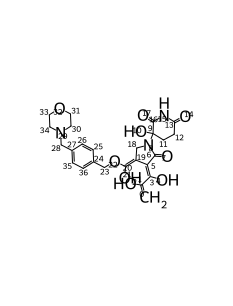 C=C(O)/C(O)=C1/C(=O)N(C2(O)CCC(=O)NC2=O)C/C1=C(/O)OCc1ccc(CN2CCOCC2)cc1